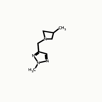 CC1CN(Cc2cnn(C)n2)C1